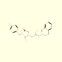 Cc1ccc(CN2C(=O)CN(CC(O)CN3CCc4ccccc4C3)C2O)cc1